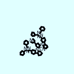 N#Cc1c(-n2c3ccccc3c3ccc(-c4nc(-c5ccccc5)nc(-c5ccccc5)n4)cc32)cc(-c2ccncc2)cc1-n1c2ccccc2c2ccc(-c3nc(-c4ccccc4)nc(-c4ccccc4)n3)cc21